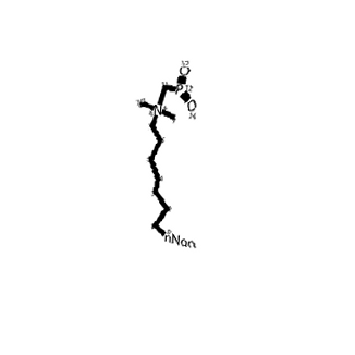 CCCCCCCCCCCCCCCC[N+](C)(C)CP(=O)=O